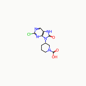 O=C(O)N1CCC[C@@H](n2c(=O)[nH]c3cnc(Cl)nc32)C1